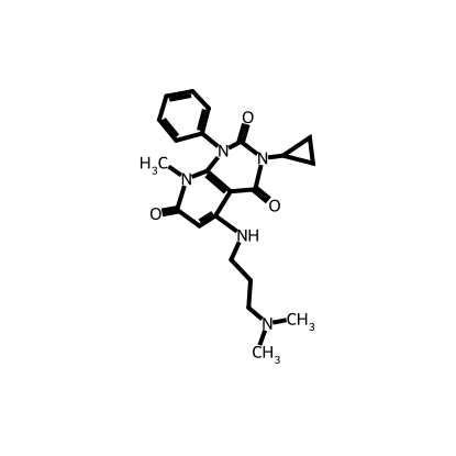 CN(C)CCCNc1cc(=O)n(C)c2c1c(=O)n(C1CC1)c(=O)n2-c1ccccc1